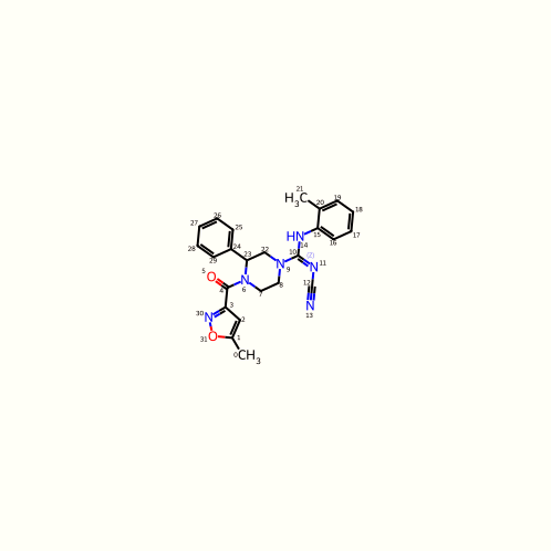 Cc1cc(C(=O)N2CCN(/C(=N\C#N)Nc3ccccc3C)CC2c2ccccc2)no1